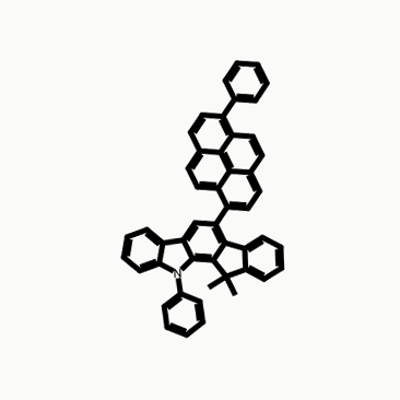 CC1(C)c2ccccc2-c2c(-c3ccc4ccc5c(-c6ccccc6)ccc6ccc3c4c65)cc3c4ccccc4n(-c4ccccc4)c3c21